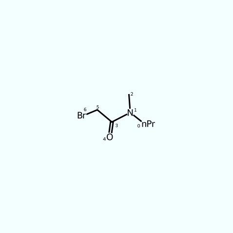 CCCN(C)C(=O)CBr